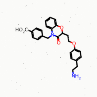 NCCc1ccc(OCCC2Oc3ccccc3N(Cc3ccc(C(=O)O)cc3)C2=O)cc1